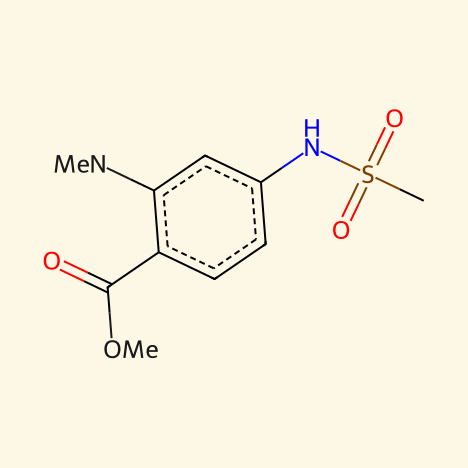 CNc1cc(NS(C)(=O)=O)ccc1C(=O)OC